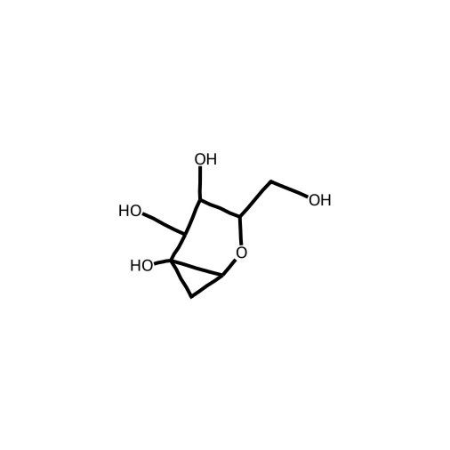 OCC1OC2CC2(O)C(O)C1O